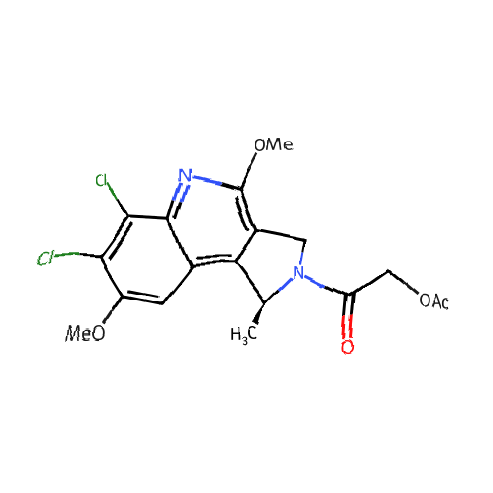 COc1cc2c3c(c(OC)nc2c(Cl)c1Cl)CN(C(=O)COC(C)=O)[C@H]3C